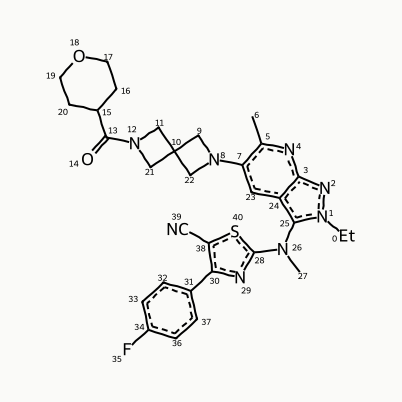 CCn1nc2nc(C)c(N3CC4(CN(C(=O)C5CCOCC5)C4)C3)cc2c1N(C)c1nc(-c2ccc(F)cc2)c(C#N)s1